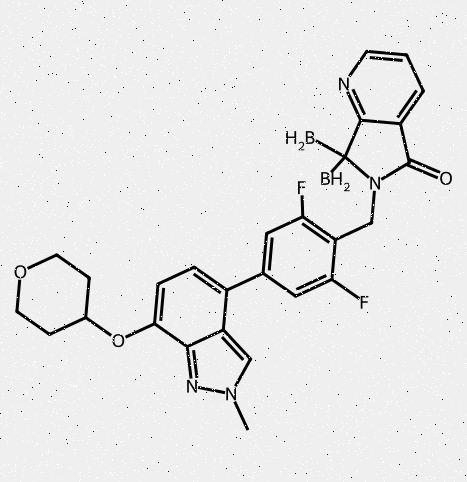 BC1(B)c2ncccc2C(=O)N1Cc1c(F)cc(-c2ccc(OC3CCOCC3)c3nn(C)cc23)cc1F